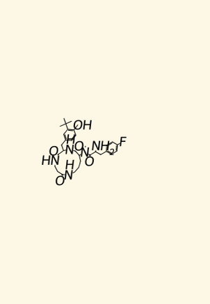 CN(C(=O)[C@@H](N)Cc1ccc(F)cc1)[C@H]1CCCNC(=O)CCNC(=O)C(Cc2ccc(O)c(C(C)(C)C)c2)NC1=O